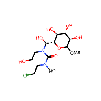 CO[C@H]1O[C@H](C(O)N(CCO)C(=O)N(CCCl)N=O)[C@@H](O)[C@H](O)[C@H]1O